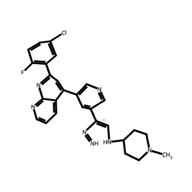 CN1CCC(N/C=C(\N=N)c2cncc(-c3cc(-c4cc(Cl)ccc4F)nc4ncccc34)c2)CC1